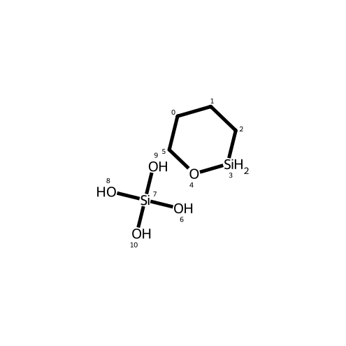 C1CC[SiH2]OC1.O[Si](O)(O)O